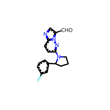 O=Cc1cnc2ccc(N3CCCC3c3cccc(F)c3)nn12